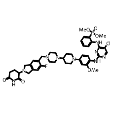 COc1cc(N2CCC(N3CCN(Cc4cc5c(cc4F)CN(C4CCC(=O)NC4=O)C5)CC3)CC2)ccc1Nc1ncc(Cl)c(Nc2ccccc2P(=O)(OC)OC)n1